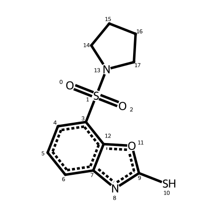 O=S(=O)(c1cccc2nc(S)oc12)N1CCCC1